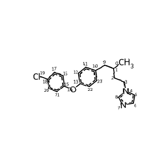 CC(CCn1ccnc1)Cc1ccc(Oc2ccc(Cl)cc2)cc1